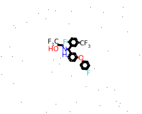 OC(CNC(c1cccc(Oc2ccc(F)cc2)c1)c1cc(C(F)(F)F)ccc1F)C(F)(F)F